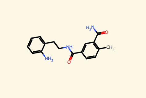 Cc1ccc(C(=O)NCCc2ccccc2N)cc1C(N)=O